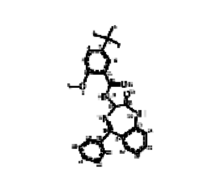 COc1ccc(C(C)(C)C)cc1C(=O)NC1N=C(c2ccccc2)c2ccccc2NC1=O